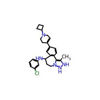 CC1=C2c3ccc(C4=CCN(C5CCC5)CC4)cc3C(Nc3cccc(Cl)c3)CCN2NN1